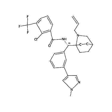 C=CCN1CC2CCC1([C@@H](NC(=O)c1cccc(C(F)(F)F)c1Cl)c1cccc(-c3cnn(C)c3)c1)CC2